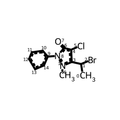 CC(Br)c1c(Cl)c(=O)n(-c2ccccc2)n1C